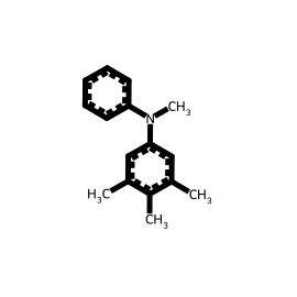 Cc1cc(N(C)c2ccccc2)cc(C)c1C